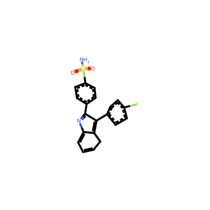 NS(=O)(=O)c1ccc(C2=NC3=CC=CCC3=C2c2ccc(F)cc2)cc1